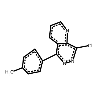 Cc1ccc(-c2nnc(Cl)c3ncccc23)cc1